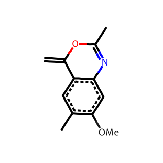 C=C1OC(C)=Nc2cc(OC)c(C)cc21